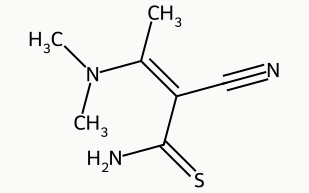 C/C(=C(\C#N)C(N)=S)N(C)C